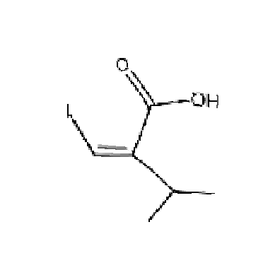 CC(C)/C(=C/I)C(=O)O